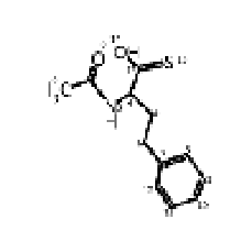 CC(=O)NC(CCc1ccccc1)C(O)=S